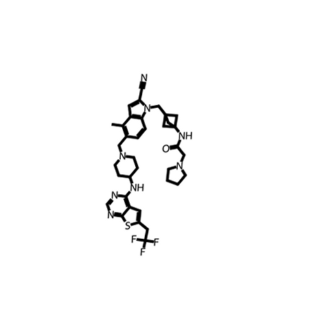 Cc1c(CN2CCC(Nc3ncnc4sc(CC(F)(F)F)cc34)CC2)ccc2c1cc(C#N)n2CC12CC(NC(=O)CN3CCCC3)(C1)C2